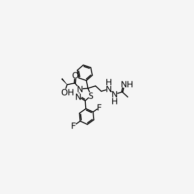 CC(=N)NNCCC1(c2ccccc2)SC(c2cc(F)ccc2F)=NN1C(=O)[C@H](C)O